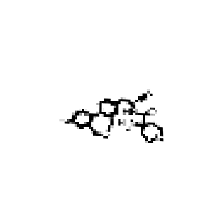 N#C[C@H](Cc1ccc2c(c1)COCc1cc(F)ccc1-2)NC(=O)C1(N)CCOCC1